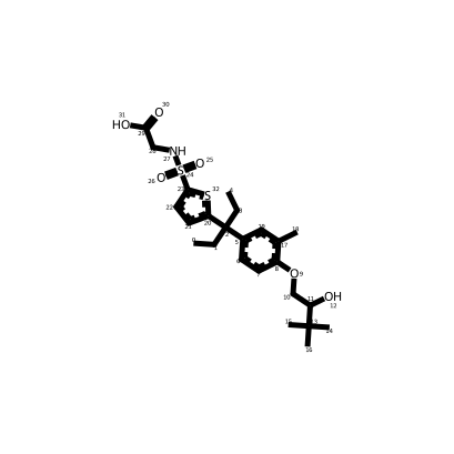 CCC(CC)(c1ccc(OCC(O)C(C)(C)C)c(C)c1)c1ccc(S(=O)(=O)NCC(=O)O)s1